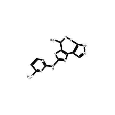 Cc1ccnc(Nc2nc3c(s2)C(C)OCc2[nH]ncc2-3)n1